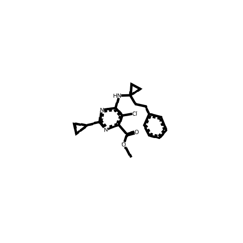 COC(=O)c1nc(C2CC2)nc(NC2(CCc3ccccc3)CC2)c1Cl